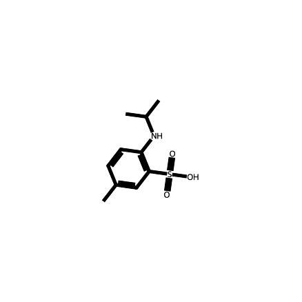 Cc1ccc(NC(C)C)c(S(=O)(=O)O)c1